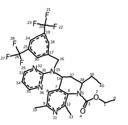 CCOC(=O)N1c2c(cc(C)nc2C)C(N(Cc2cc(C(F)(F)F)cc(C(F)(F)F)c2)c2ncccn2)CC1CC